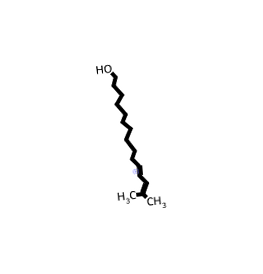 CC(C)=C/C=C/CCCCCCCCCCO